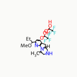 CCC(OC)c1ccc2c(n1)N1[C@@H](CNC[C@H]1C)C2.O=C(O)C(F)(F)F.O=C(O)C(F)(F)F